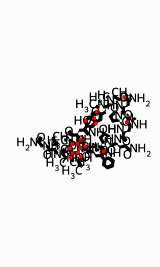 CCCC[C@@H](C(=O)N(C)[C@@H](CCCC)C(=O)N[C@@H](C)C(=O)N[C@@H](CSC)C(=O)NCC(N)=O)N(C)C(=O)[C@H](Cc1c[nH]c2ccccc12)NC(=O)[C@H](CO)NC(=O)[C@H](Cc1c[nH]c2ccccc12)NC(=O)[C@@H]1C[C@@H](O)CN1C(=O)[C@H](CCC(N)=O)NC(=O)[C@H](Cc1cnc[nH]1)NC(=O)[C@@H]1CCCN1C(=O)[C@H](CC(N)=O)NC(=O)[C@H](C)N(C)C(=O)[C@H](Cc1ccc(O)cc1)NC(C)=O